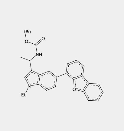 CCn1cc(C(C)NC(=O)OC(C)(C)C)c2cc(-c3cccc4c3oc3ccccc34)ccc21